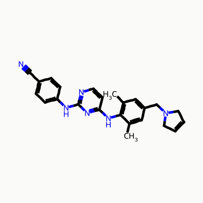 Cc1cc(CN2CC=CC2)cc(C)c1Nc1ccnc(Nc2ccc(C#N)cc2)n1